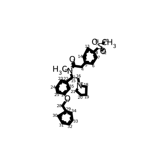 CN(C(=O)Cc1ccc(S(C)(=O)=O)cc1)[C@H](CN1CCCC1)c1cccc(OCc2ccccc2)c1